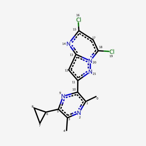 Cc1nc(C)c(C2CC2)nc1-c1cc2nc(Cl)cc(Cl)n2n1